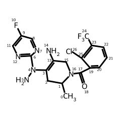 CC1CC(N(N)c2ncc(F)cn2)=C(N)CN1C(=O)c1cccc(C(F)(F)F)c1Cl